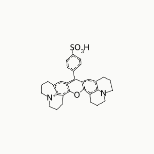 O=S(=O)(O)c1ccc(C2=c3cc4c5c(c3Oc3c2cc2c6c3CCCN6CCC2)CCC[N+]=5CCC4)cc1